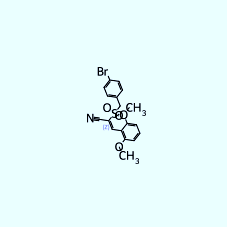 COc1cccc(OC)c1/C=C(/C#N)S(=O)(=O)Cc1ccc(Br)cc1